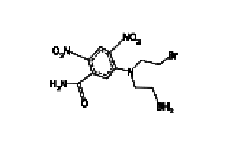 BCCN(CCBr)c1cc(C(N)=O)c([N+](=O)[O-])cc1[N+](=O)[O-]